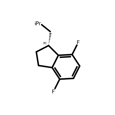 CC(C)C[C@H]1CCc2c(F)ccc(F)c21